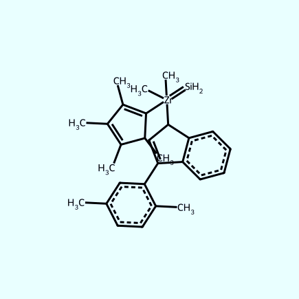 CC1=C(C)C(C)[C]([Zr]([CH3])([CH3])(=[SiH2])[CH]2C=C(c3cc(C)ccc3C)c3ccccc32)=C1C